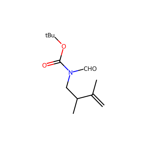 C=C(C)C(C)CN(C=O)C(=O)OC(C)(C)C